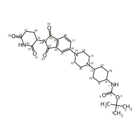 CC(C)(C)OC(=O)NC1CCC(N2CCN(c3ccc4c(c3)C(=O)N(C3CCC(=O)NC3=O)C4=O)CC2)CC1